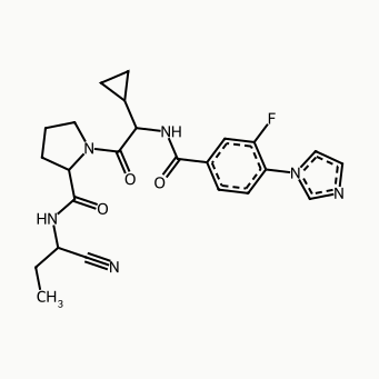 CCC(C#N)NC(=O)C1CCCN1C(=O)C(NC(=O)c1ccc(-n2ccnc2)c(F)c1)C1CC1